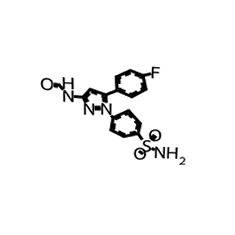 NS(=O)(=O)c1ccc(-n2nc(NC=O)cc2-c2ccc(F)cc2)cc1